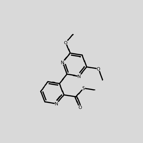 COc1cc(OC)nc(-c2cccnc2C(=O)SC)n1